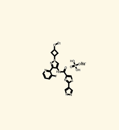 CCOC1CC(n2cc(NC(=O)c3csc(-c4cn[n-]c4)n3)c(-c3ncccc3F)n2)C1.COP(=O)(O)O.[Na+]